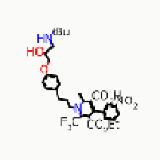 CCOC(=O)C1=C(C(F)(F)F)N(CCCc2ccc(OCC(O)CNC(C)(C)C)cc2)C(C)C(C(=O)O)=C1c1cccc([N+](=O)[O-])c1